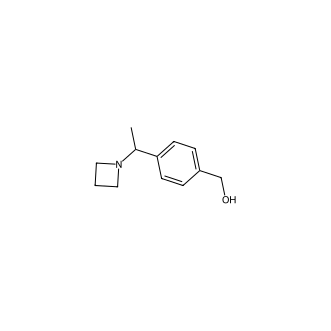 CC(c1ccc(CO)cc1)N1CCC1